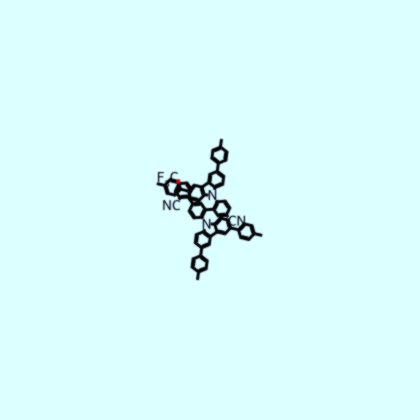 Cc1ccc(-c2ccc3c(c2)c2cc(-c4ccc(C)cc4)ccc2n3-c2ccc(C#N)cc2-c2cc(-c3ccc(C(F)(F)F)cc3C#N)ccc2-n2c3ccc(-c4ccc(C)cc4)cc3c3cc(-c4ccc(C)cc4)ccc32)cc1